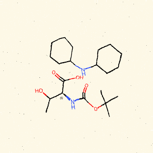 C1CCC(NC2CCCCC2)CC1.CC(O)[C@H](NC(=O)OC(C)(C)C)C(=O)O